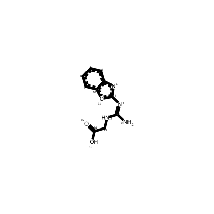 NC(=Nc1nc2ccccc2o1)NCC(=O)O